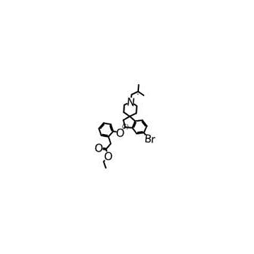 CCOC(=O)Cc1ccccc1O[C@H]1CC2(CCN(C[C](C)C)CC2)c2ccc(Br)cc21